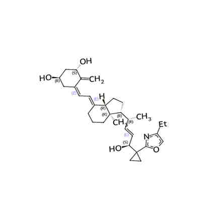 C=C1/C(=C\C=C2/CCC[C@]3(C)[C@@H]([C@H](C)/C=C/[C@H](O)C4(c5nc(CC)co5)CC4)CC[C@@H]23)C[C@@H](O)C[C@@H]1O